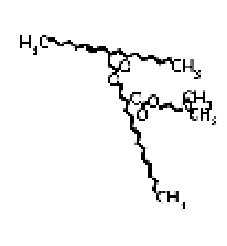 CCCCC/C=C/CC(CCCCCCCC)CC(=O)OCCC(CCCCCCCCCCCC)OC(=O)OCCCN(C)C